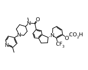 Cc1cc(N2CCC(N(C)C(=O)c3ccc4c(c3)[C@H](N3CC=CC(OC(=O)O)=C3C(F)(F)F)CC4)CC2)ccn1